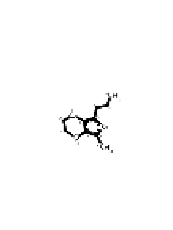 CCCc1sc(C)c2c1OCCO2